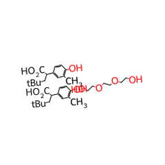 Cc1cc(C(CC(C)(C)C)C(=O)O)ccc1O.Cc1cc(C(CC(C)(C)C)C(=O)O)ccc1O.OCCOCCOCCO